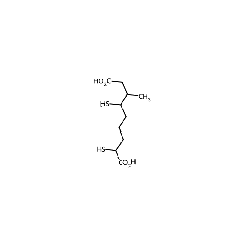 CC(CC(=O)O)C(S)CCCC(S)C(=O)O